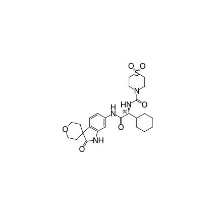 O=C(Nc1ccc2c(c1)NC(=O)C21CCOCC1)[C@@H](NC(=O)N1CCS(=O)(=O)CC1)C1CCCCC1